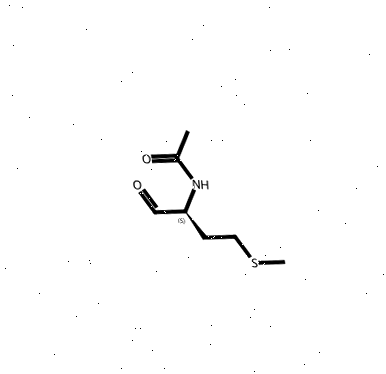 CSCC[C@@H](C=O)NC(C)=O